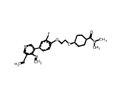 C=Cc1cncc(-c2ccc(OCCOC3CCC(C(=O)N(C)C)CC3)c(F)c2)c1N=C